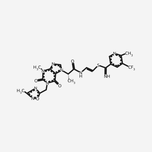 Cc1noc(Cn2c(=O)c3c(ncn3[C@@H](C)C(=O)N/C=C/SC(=N)c3cnc(C)c(C(F)(F)F)c3)n(C)c2=O)n1